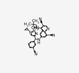 CC(C)(C)CNc1c(C#N)cnc2c(C#N)cc(NC(c3cccc(C#N)c3)c3cn(C4CC4)nn3)cc12